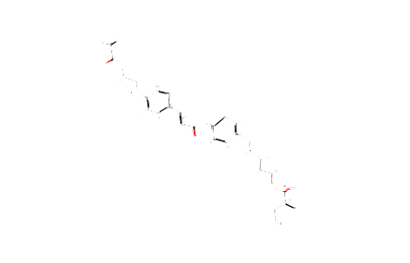 C=C(C)C(=O)OCCOc1ccc(/C=C/C(=O)Sc2ccc(OCCCCOC(=O)C(=C)CO)cc2)cc1